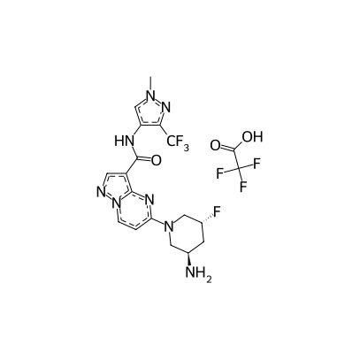 Cn1cc(NC(=O)c2cnn3ccc(N4C[C@H](N)C[C@@H](F)C4)nc23)c(C(F)(F)F)n1.O=C(O)C(F)(F)F